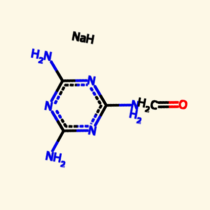 C=O.Nc1nc(N)nc(N)n1.[NaH]